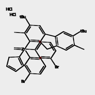 Cl.Cl.[CH2]=[Zr]([C]1=CC=CC1)([c]1cccc(Br)c1)([c]1cccc(Br)c1)[c]1c(C)c(C(C)(C)C)cc2c1Cc1cc(C)c(C(C)(C)C)cc1-2